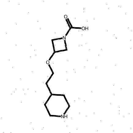 O=C(O)N1CC(OCCC2CCNCC2)C1